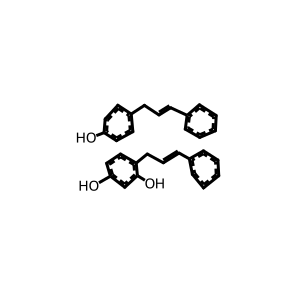 Oc1ccc(CC=Cc2ccccc2)c(O)c1.Oc1ccc(CC=Cc2ccccc2)cc1